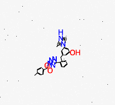 Cc1ccc(C(=O)On2nnc(-c3ccccc3Cc3cc(O)cc(N4C[C@@H](C)NC[C@@H]4C)c3)n2)cc1